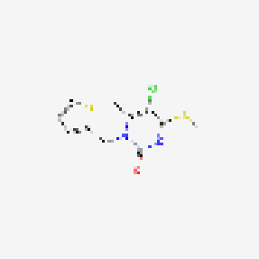 CSc1nc(=O)n(Cc2cccs2)c(C)c1Cl